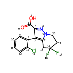 O=C(O)c1nn2c(c1-c1ccccc1Cl)CC(F)(F)CC2